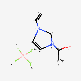 C=CN1C=CN(C(O)CCC)C1.F[B-](F)(F)F